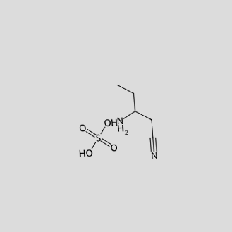 CCC(N)CC#N.O=S(=O)(O)O